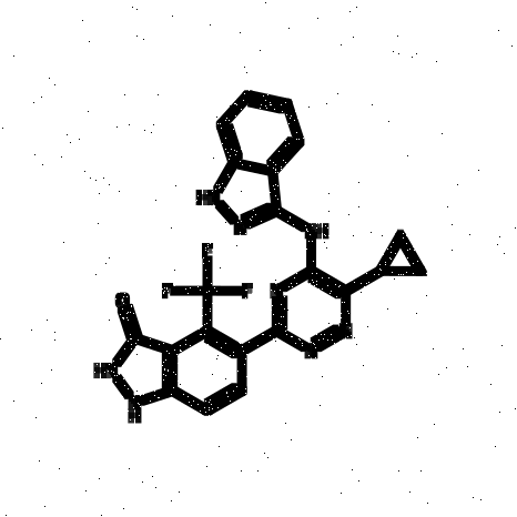 O=c1[nH][nH]c2ccc(-c3nnc(C4CC4)c(Nc4n[nH]c5ccccc45)n3)c(C(F)(F)F)c12